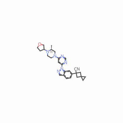 C[C@H]1CN(c2cc(-n3ncc4ccc(C5(C#N)CC6(CC6)C5)cc43)ncn2)CCN1C1CCOC1